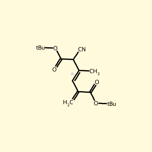 C=C(/C=C(\C)C(C#N)C(=O)OC(C)(C)C)C(=O)OC(C)(C)C